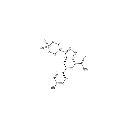 NC(=O)c1cc(-c2ccc(O)cc2)cc2c(C3CCS(=O)(=O)CC3)c[nH]c12